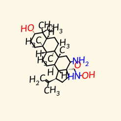 C=C(C)[C@@H]1CC[C@]2(C(=O)NO)C(N)C[C@]3(C)[C@H](CC[C@@H]4[C@@]5(C)CC[C@H](O)C(C)(C)[C@@H]5CC[C@]43C)[C@@H]12